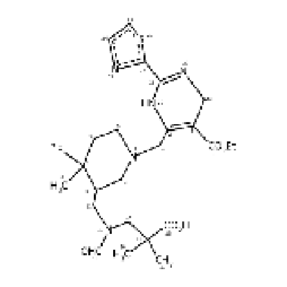 CCOC(=O)C1=C(CN2CCC(C)(F)C(CN(C=O)CC(C)(C)C(=O)O)C2)NC(c2nccs2)=NC1